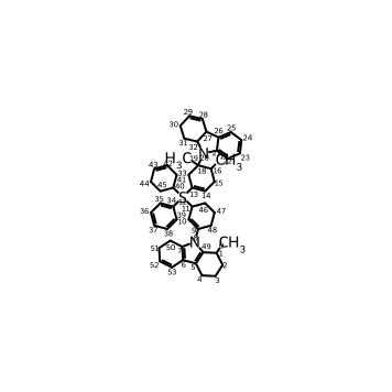 CC1CCCc2c3c(n(C4=CC(S(C5=CCC(C)C(C)(N6c7ccccc7C7C=CCCC76)C5)(c5ccccc5)C5CC=CCC5)CCC4)c21)CCC=C3